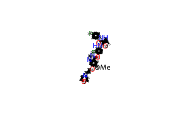 COc1cc2c(Oc3ccc(NC(=O)C4(C(=O)Nc5ccc(F)cc5)C[C@H]4C)cc3F)ncnc2cc1OCCCN1CCOCC1